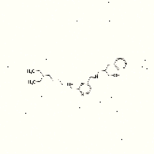 CCN(CC)CCCCNCc1cc(/C=N/CC(CO)Cc2ccccc2)ccn1